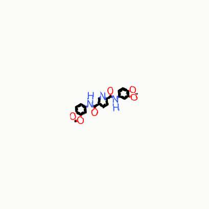 O=C(Nc1ccc2c(c1)OCO2)c1ccc(C(=O)Nc2ccc3c(c2)OCO3)nc1